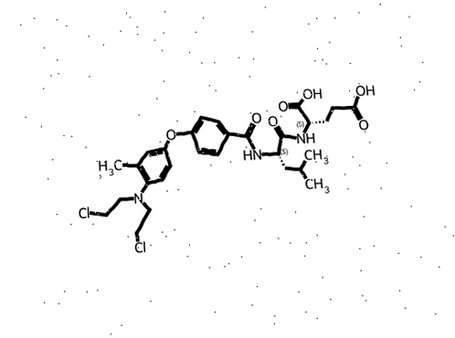 Cc1cc(Oc2ccc(C(=O)N[C@@H](CC(C)C)C(=O)N[C@@H](CCC(=O)O)C(=O)O)cc2)ccc1N(CCCl)CCCl